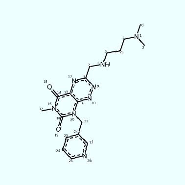 CN(C)CCCNCc1nnc2c(n1)c(=O)n(C)c(=O)n2Cc1cccnc1